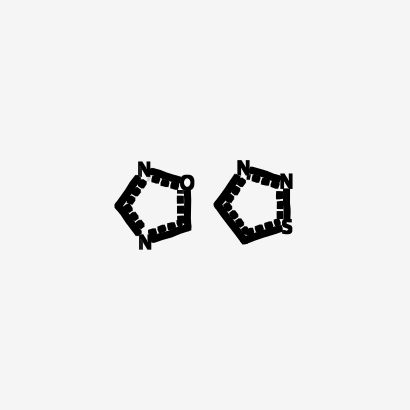 c1csnn1.c1ncon1